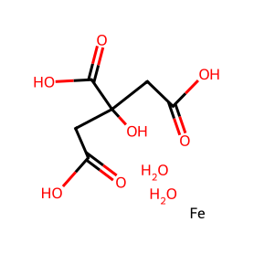 O.O.O=C(O)CC(O)(CC(=O)O)C(=O)O.[Fe]